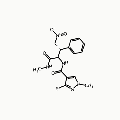 CNC(=O)C(NC(=O)c1cn(C)nc1F)[C@H](C[N+](=O)[O-])c1ccccc1